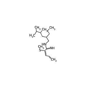 C=C/C=C(/SC)C(=N)NCC(CCC)CC(C)C(C)C